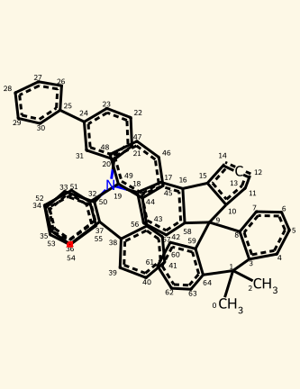 CC1(C)c2ccccc2C2(c3ccccc3-c3cc(N(c4cccc(-c5ccccc5)c4)c4ccccc4-c4ccccc4-c4ccccc4-c4ccccc4)ccc32)c2ccccc21